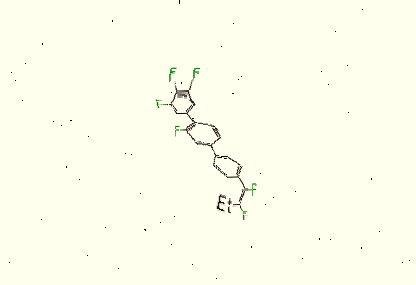 CC/C(F)=C(/F)c1ccc(-c2ccc(-c3cc(F)c(F)c(F)c3)c(F)c2)cc1